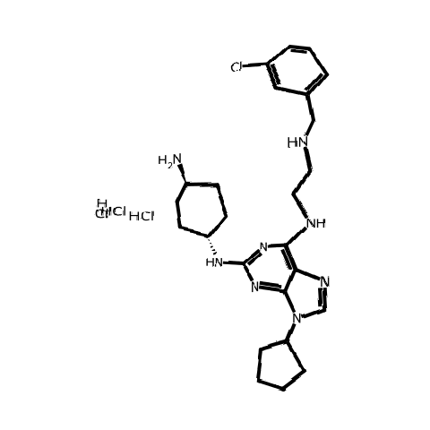 Cl.Cl.Cl.N[C@H]1CC[C@H](Nc2nc(NCCNCc3cccc(Cl)c3)c3ncn(C4CCCC4)c3n2)CC1